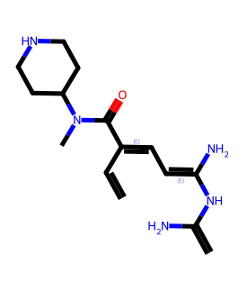 C=C/C(=C\C=C(/N)NC(=C)N)C(=O)N(C)C1CCNCC1